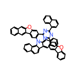 c1ccc2cc3c(cc2c1)oc1cc(-c2nc(-c4ccc5c(c4)oc4ccccc45)nc(-c4cccc5ccccc45)n2)c(-n2c4cc5ccccc5cc4c4ccc5ccccc5c42)cc13